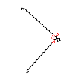 CC(C)CCCCCCCCCCCCCCCCCOC(=O)C1(C(=O)OCCCCCCCCCCCCCCCCCC(C)C)CCC1